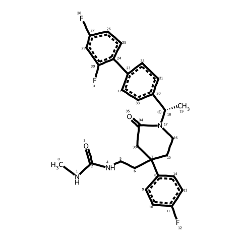 CNC(=O)NCCC1(c2ccc(F)cc2)CCN([C@@H](C)c2ccc(-c3ccc(F)cc3F)cc2)C(=O)C1